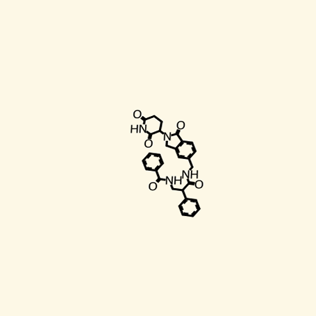 O=C1CCC(N2Cc3cc(CNC(=O)C(CNC(=O)c4ccccc4)c4ccccc4)ccc3C2=O)C(=O)N1